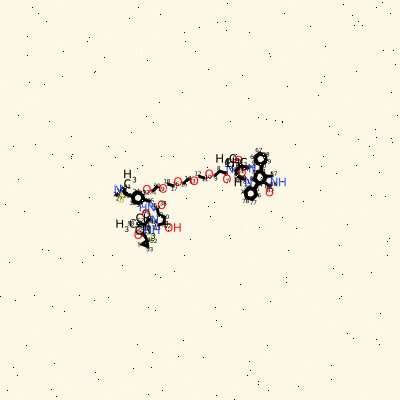 CO[C@@H]1C(N(C)C(=O)CCOCCOCCOCCOCCOc2cc(-c3scnc3C)ccc2CNC(=O)C2C[C@@H](O)CN2C(=O)[C@@H](NC(=O)C2(F)CC2)C(C)(C)C)C[C@H]2O[C@]1(C)n1c3ccccc3c3c4c(c5c6ccccc6n2c5c31)C(=O)NC4